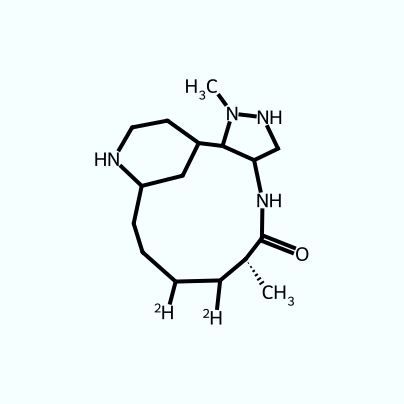 [2H]C1CCC2CC(CCN2)C2C(CNN2C)NC(=O)[C@H](C)C1[2H]